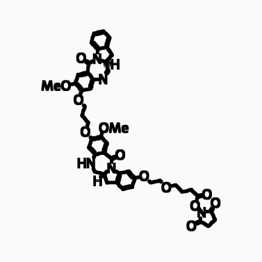 COc1cc2c(cc1OCCCOc1cc3c(cc1OC)C(=O)N1c4cc(OCCOCCCC(=O)ON5C(=O)CCC5=O)ccc4C[C@H]1CN3)N=C[C@@H]1Cc3ccccc3N1C2=O